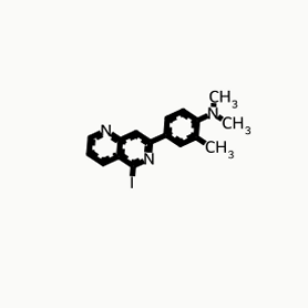 Cc1cc(-c2cc3ncccc3c(I)n2)ccc1N(C)C